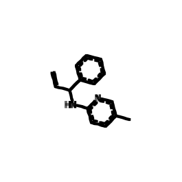 C=CC(Nc1ccc(C)cn1)c1ccccc1